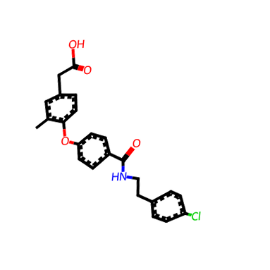 Cc1cc(CC(=O)O)ccc1Oc1ccc(C(=O)NCCc2ccc(Cl)cc2)cc1